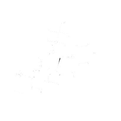 C=CCC(O[C@H]1C[C@@H](OC2CCCCO2)[C@H](CO[Si](C)(C)C(C)(C)C)[C@H]1/C=C\C)C(=O)O